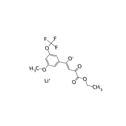 CCOC(=O)C(=O)C=C([O-])c1cc(OC)cc(OC(F)(F)F)c1.[Li+]